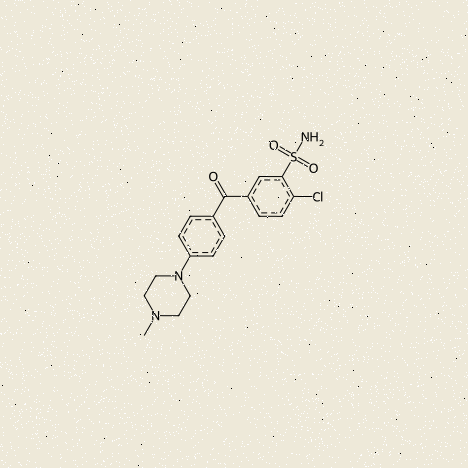 CN1CCN(c2ccc(C(=O)c3ccc(Cl)c(S(N)(=O)=O)c3)cc2)CC1